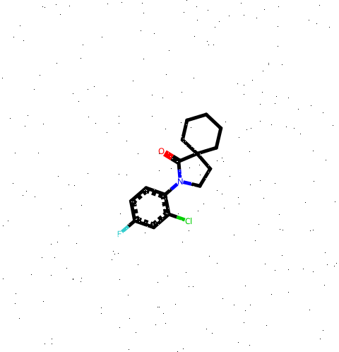 O=C1N(c2ccc(F)cc2Cl)CCC12CCCCC2